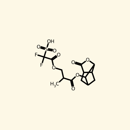 CC(COC(=O)C(F)(F)S(=O)(=O)O)C(=O)OC1C2CC3C(=O)OC1C3C2